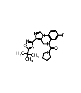 CC(C)(C)c1nc(-c2ncn3c2CN(C(=O)N2CCCC2)c2cc(F)ccc2-3)no1